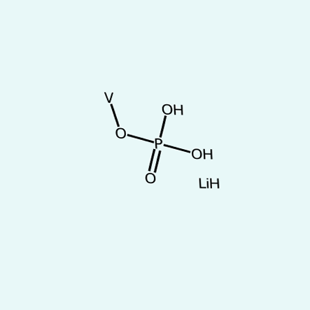 O=P(O)(O)[O][V].[LiH]